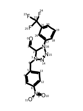 O=CC1N(Cc2ccc([N+](=O)[O-])cc2)N=NN1c1cccc(C(F)(F)F)c1